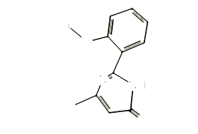 CCCCOc1ccccc1-c1nc(C(C)C)cc(=O)[nH]1